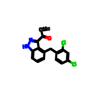 COC(=O)c1n[nH]c2cccc(Cc3ccc(Cl)cc3Cl)c12